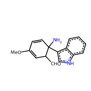 COC1=CC(C=O)C(N)(c2c[nH]c3ccccc23)C=C1